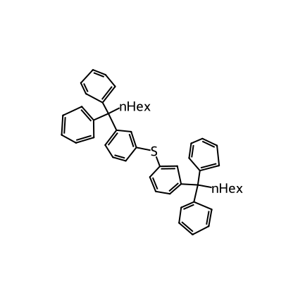 CCCCCCC(c1ccccc1)(c1ccccc1)c1cccc(Sc2cccc(C(CCCCCC)(c3ccccc3)c3ccccc3)c2)c1